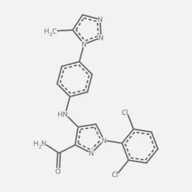 Cc1cnnn1-c1ccc(Nc2cn(-c3c(Cl)cccc3Cl)nc2C(N)=O)cc1